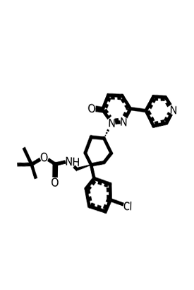 CC(C)(C)OC(=O)NC[C@]1(c2cccc(Cl)c2)CC[C@@H](n2nc(-c3ccncc3)ccc2=O)CC1